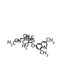 CO/N=C/C(C)(C)NC(=O)C(Oc1cc(C)c2ncc(C)cc2c1)SC